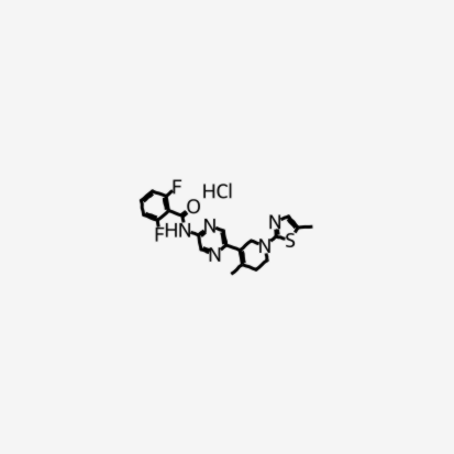 CC1=C(c2cnc(NC(=O)c3c(F)cccc3F)cn2)CN(c2ncc(C)s2)CC1.Cl